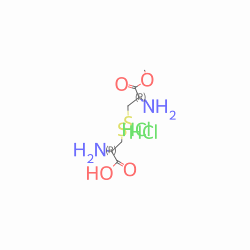 COC(=O)[C@@H](N)CSSC[C@H](N)C(=O)O.Cl.Cl